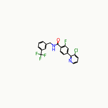 O=C(NCc1cccc(C(F)(F)F)c1)c1ccc(-c2ncccc2Cl)cc1F